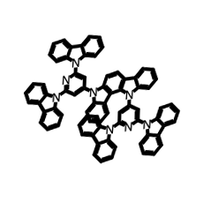 c1ccc2c(c1)c1ccccc1n2-c1cc(-n2c3ccccc3c3c2ccc2c4ccccc4n(-c4cc(-n5c6ccccc6c6ccccc65)nc(-n5c6ccccc6c6ccccc65)c4)c23)cc(-n2c3ccccc3c3ccccc32)n1